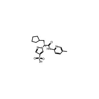 Cc1ccc(NC(=O)[C@H](CC2CCCC2)n2cc(S(=O)(=O)C(C)C)cn2)nc1